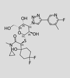 Cc1cc(-c2cn([C@H]3[C@@H](O)[C@@H](CO)O[C@@H](S[C@H](C(=O)N(C)C4CC4)C4(O)CCC(F)(F)CC4)[C@@H]3O)nn2)cnc1F